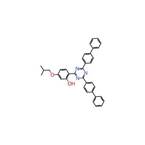 CC(C)COc1ccc(-c2nc(-c3ccc(-c4ccccc4)cc3)nc(-c3ccc(-c4ccccc4)cc3)n2)c(O)c1